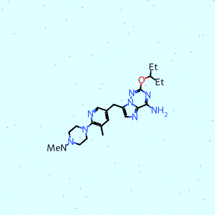 CCC(CC)Oc1nc(N)c2ncc(Cc3cnc(N4CCN(NC)CC4)c(C)c3)n2n1